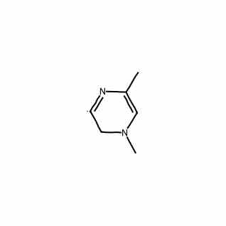 CC1=CN(C)C[C]=N1